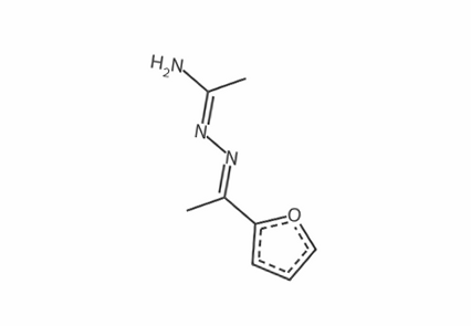 C/C(N)=N\N=C(/C)c1ccco1